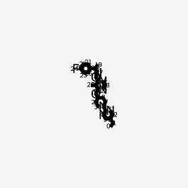 CCc1cnc(N2CCC(Oc3ncnc(ON=C(C)c4ccc(F)cc4)c3C)CC2)nc1